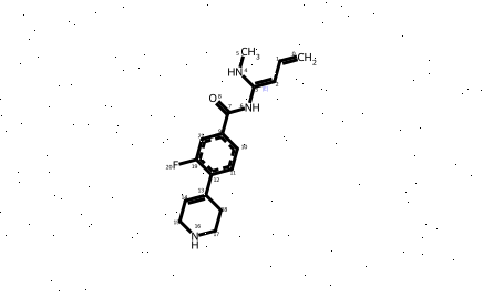 C=C/C=C(\NC)NC(=O)c1ccc(C2=CCNCC2)c(F)c1